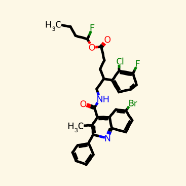 CCCC(F)OC(=O)CCC(CNC(=O)c1c(C)c(-c2ccccc2)nc2ccc(Br)cc12)c1cccc(F)c1Cl